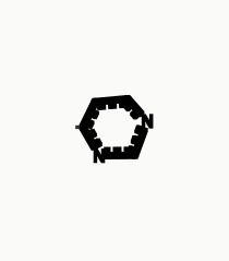 [c]1ccncn1